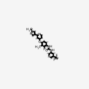 Cc1c(Oc2ccnc(-c3cnn(C)c3)c2)ccc(NC(=O)Nc2cncc(C(F)(F)F)c2)c1F